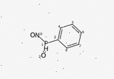 O=N[PH](=O)c1ccccc1